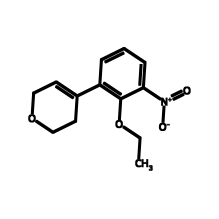 CCOc1c(C2=CCOCC2)cccc1[N+](=O)[O-]